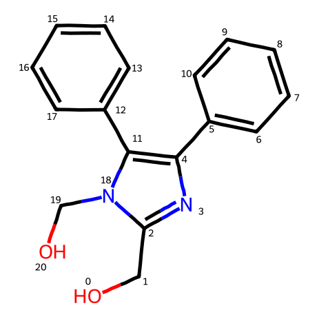 OCc1nc(-c2ccccc2)c(-c2ccccc2)n1CO